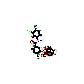 O=C(Nc1ccc(F)c(F)c1)c1ccc(Cl)c(S(=O)(=O)[C@H]2CC3CC(C2)[C@@]3(O)CO)c1